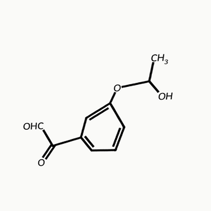 CC(O)Oc1cccc(C(=O)C=O)c1